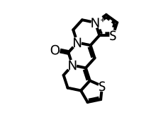 O=C1N2CC[n+]3ccsc3C2=CC2=C3SC=CC3CCN12